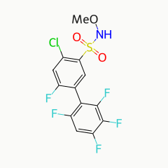 CONS(=O)(=O)c1cc(-c2c(F)cc(F)c(F)c2F)c(F)cc1Cl